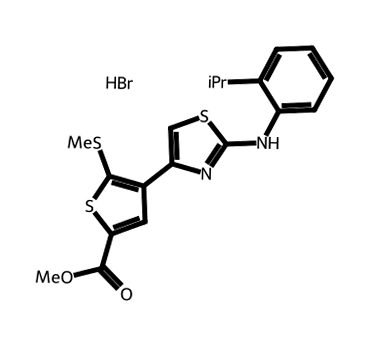 Br.COC(=O)c1cc(-c2csc(Nc3ccccc3C(C)C)n2)c(SC)s1